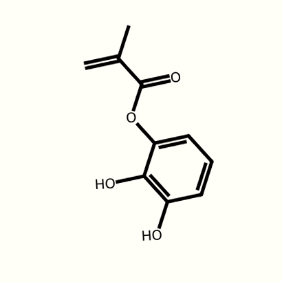 C=C(C)C(=O)Oc1cccc(O)c1O